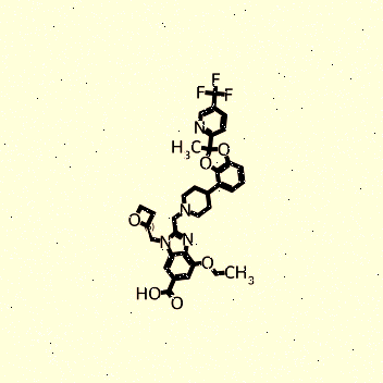 CCOc1cc(C(=O)O)cc2c1nc(CN1CCC(c3cccc4c3OC(C)(c3ccc(C(F)(F)F)cn3)O4)CC1)n2C[C@@H]1CCO1